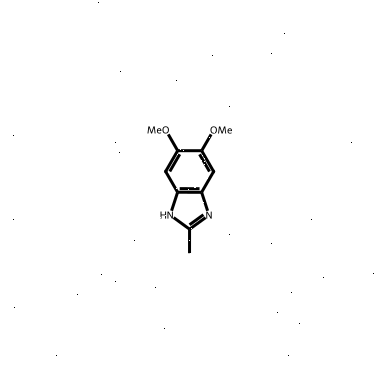 COc1cc2nc(C)[nH]c2cc1OC